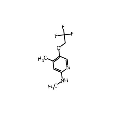 CNc1cc(C)c(OCC(F)(F)F)cn1